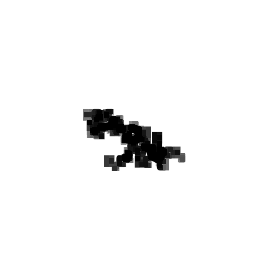 C=CCO[C@H]1CN(c2nc(-c3ncnn3C)c(C(=O)O)s2)CC[C@H]1NC(=O)c1[nH]c(C)c(Cl)c1C#N